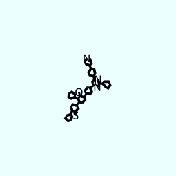 c1ccc(-c2nc(-c3ccc(-c4ccncc4)cc3)cc(-c3ccc(-c4ccc(-c5ccc6c(c5)sc5ccccc56)c5c4oc4ccccc45)cc3)n2)cc1